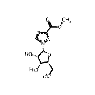 COC(=O)c1ncn([C@@H]2O[C@@H](CO)[C@H](O)[C@@H]2O)n1